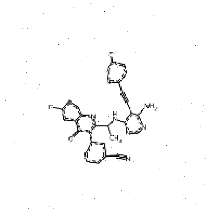 CC(Nc1ncnc(N)c1C#Cc1ccc(F)cn1)c1nc2ccc(F)cc2c(=O)n1-c1cccc(C#N)c1